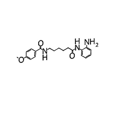 COc1ccc(C(=O)NCCCCCC(=O)Nc2ccccc2N)cc1